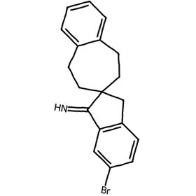 N=C1c2cc(Br)ccc2CC12CCc1ccccc1CC2